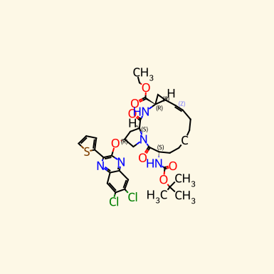 CCOC(=O)[C@@]12C[C@H]1/C=C\CCCCC[C@H](NC(=O)OC(C)(C)C)C(=O)N1C[C@H](Oc3nc4cc(Cl)c(Cl)cc4nc3-c3cccs3)C[C@H]1C(=O)N2